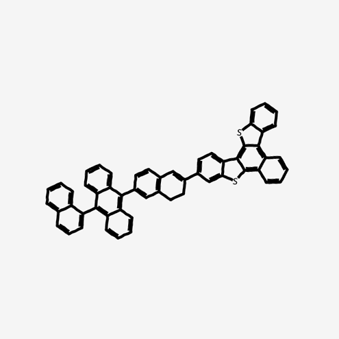 C1=C(c2ccc3c(c2)sc2c4ccccc4c4c5ccccc5sc4c32)CCc2cc(-c3c4ccccc4c(-c4cccc5ccccc45)c4ccccc34)ccc21